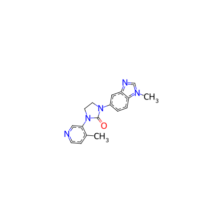 Cc1ccncc1N1CCN(c2ccc3c(c2)ncn3C)C1=O